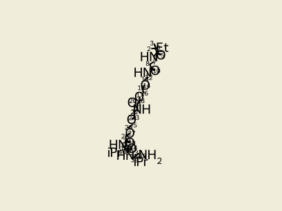 CCC(C)(C)C(=O)NCCC(=O)NCCOCCOCC(=O)NCCOCCOCC(=O)N[C@H](C(=O)N[C@H](CN)C(C)C)C(C)C